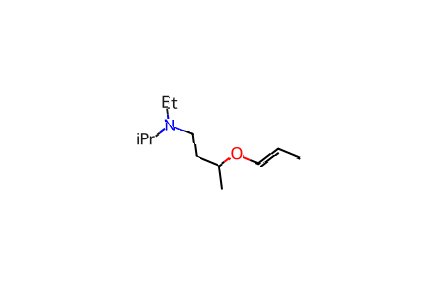 CC=COC(C)CCN(CC)C(C)C